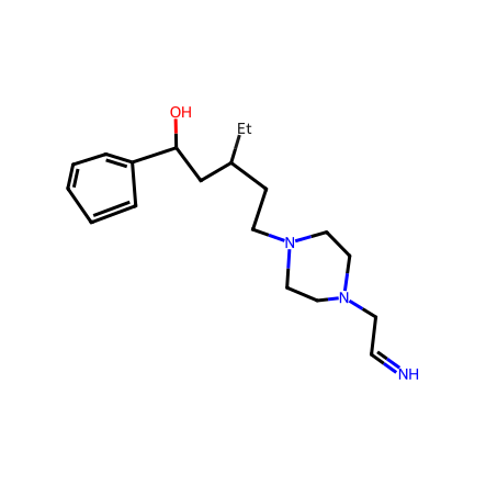 CCC(CCN1CCN(CC=N)CC1)CC(O)c1ccccc1